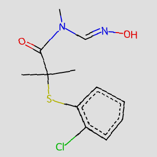 CN(C=NO)C(=O)C(C)(C)Sc1ccccc1Cl